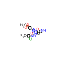 CS(=O)(=O)c1ccc(-c2nc3n(CC(=O)Nc4ccc(C(F)(F)F)cc4Cl)c4c(c(=O)n3n2)C2(CCNCC2)CC4)cc1